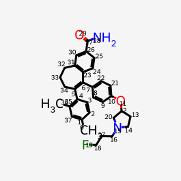 Cc1ccc(C2=C(c3ccc(OC4CCN(CCCF)C4)cc3)c3ccc(C(N)=O)cc3CCC2)c(C)c1